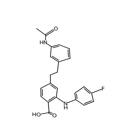 CC(=O)Nc1cccc(CCc2ccc(C(=O)O)c(Nc3ccc(F)cc3)c2)c1